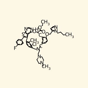 CCCCn1nccc1COc1ccc2cc1C[C@H](C(=O)OCC)Oc1ncnc3sc(-c4ccc(F)cc4)c(c13)-c1ccc(c(Cl)c1C)CN(CCN1CCN(C)CC1)C2